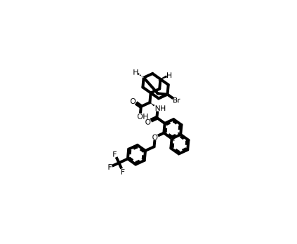 O=C(N[C@H](C(=O)O)C12C[C@@H]3C[C@@H](CC(Br)(C3)C1)C2)c1ccc2ccccc2c1OCc1ccc(C(F)(F)F)cc1